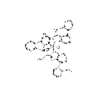 CC(C)CC1=Cc2c(-c3ccccc3C(F)(F)F)cccc2[CH]1[Hf]([Cl])([Cl])([c]1cccc2c1[SiH2]c1ccccc1-2)[CH]1C(CC(C)C)=Cc2c(-c3ccccc3C(F)(F)F)cccc21